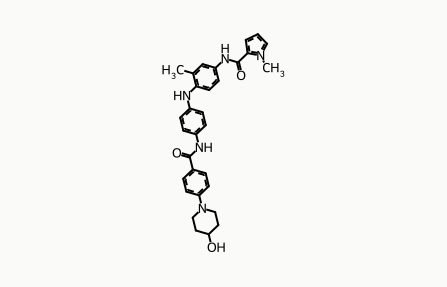 Cc1cc(NC(=O)c2cccn2C)ccc1Nc1ccc(NC(=O)c2ccc(N3CCC(O)CC3)cc2)cc1